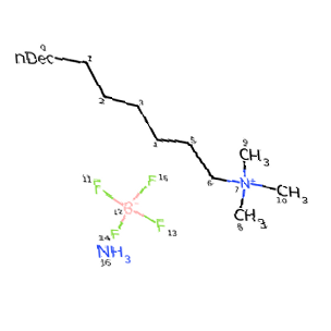 CCCCCCCCCCCCCCCC[N+](C)(C)C.F[B-](F)(F)F.N